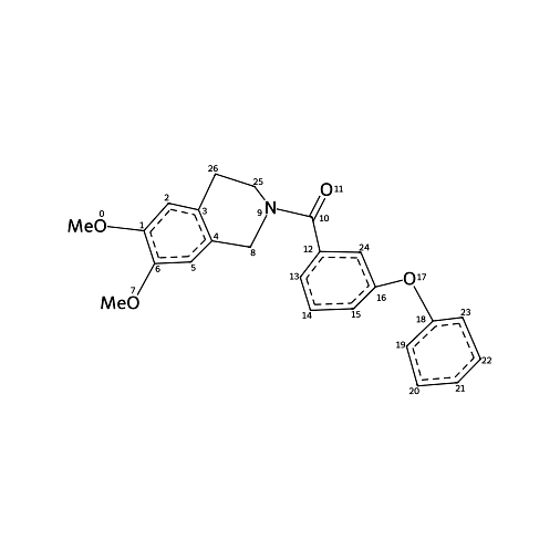 COc1cc2c(cc1OC)CN(C(=O)c1cccc(Oc3ccccc3)c1)CC2